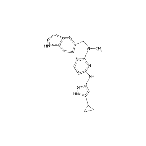 CN(Cc1ccc2[nH]ccc2n1)c1nccc(Nc2cc(C3CC3)[nH]n2)n1